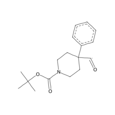 CC(C)(C)OC(=O)N1CCC([C]=O)(c2ccccc2)CC1